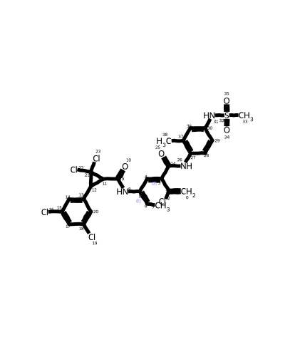 C=C(Cl)/C(=C\C(=C/C)NC(=O)C1C(c2cc(Cl)cc(Cl)c2)C1(Cl)Cl)C(=O)Nc1ccc(NS(C)(=O)=O)cc1C